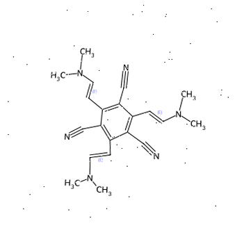 CN(C)/C=C/c1c(C#N)c(/C=C/N(C)C)c(C#N)c(/C=C/N(C)C)c1C#N